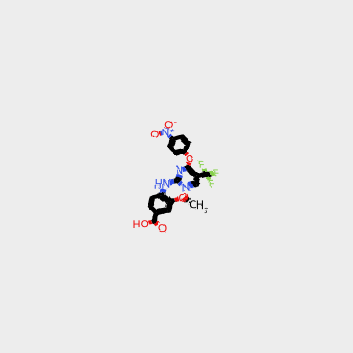 COc1cc(C(=O)O)ccc1Nc1ncc(C(F)(F)F)c(Oc2ccc([N+](=O)[O-])cc2)n1